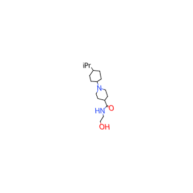 CC(C)C1CCC(N2CCC(C(=O)NCCO)CC2)CC1